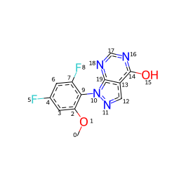 COc1cc(F)cc(F)c1-n1ncc2c(O)ncnc21